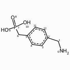 NCc1ccc(CP(=O)(O)O)cc1